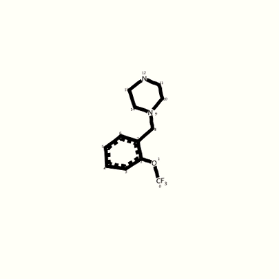 FC(F)(F)Oc1ccccc1CN1CC[N]CC1